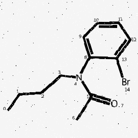 CCCCN(C(C)=O)c1ccccc1Br